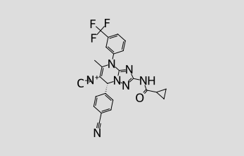 [C-]#[N+]C1=C(C)N(c2cccc(C(F)(F)F)c2)c2nc(NC(=O)C3CC3)nn2[C@@H]1c1ccc(C#N)cc1